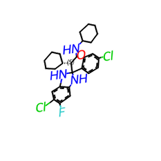 O=C(NC1CCCCC1)[C@@H](C1CCCCC1)C1(c2ccc(Cl)cc2)Nc2cc(F)c(Cl)cc2N1